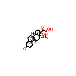 CC12CC[C@H]3[C@@H](CCC4=CC(=O)CC[C@@]43C)[C@@H]1CC[C@]2(O)C(=O)CO